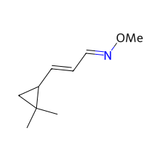 CON=CC=CC1CC1(C)C